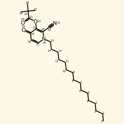 CCCCCCCCCCCCCCCCn1ccc(=O)c(OC(=O)C(C)(C)C)c1C#N